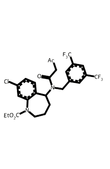 CCOC(=O)N1CCCC(N(Cc2cc(C(F)(F)F)cc(C(F)(F)F)c2)C(=O)CC(C)=O)c2ccc(Cl)cc21